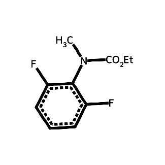 [CH2]COC(=O)N(C)c1c(F)cccc1F